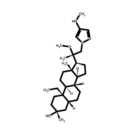 CC[C@]12CC[C@@](C)(O)C[C@H]1CC[C@H]1[C@@H]3CC[C@H]([C@@](C)(Cn4cc(NC)cn4)OC)[C@@]3(C)CC[C@@H]12